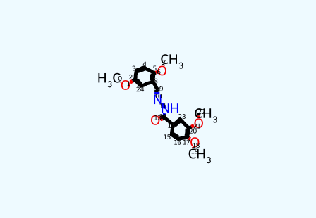 COc1ccc(OC)c(C=NNC(=O)c2ccc(OC)c(OC)c2)c1